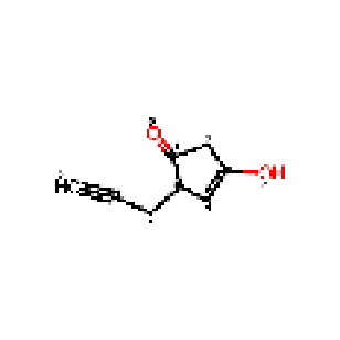 C#CCC1C=C(O)CC1=O